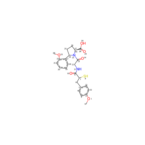 COc1ccc(CC(S)C(=O)NCC(=O)N2C(c3ccccc3OC)CC[C@H]2C(=O)O)cc1